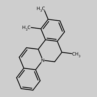 Cc1ccc2c(c1C)C1C=Cc3ccccc3N1CC2C